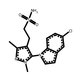 Cc1nn(C)c(-n2ccc3cc(Cl)ccc32)c1CCS(N)(=O)=O